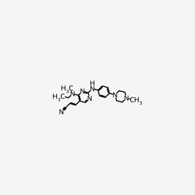 CCN(C)c1nc(Nc2ccc(N3CCN(C)CC3)cc2)ncc1C=CC#N